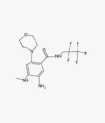 CNc1cc(N2CCOCC2)c(C(=O)NCC(F)(F)C(F)(F)F)cc1N